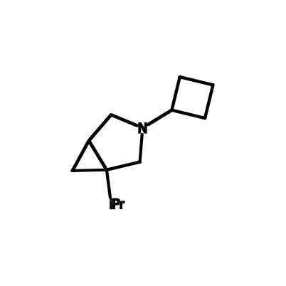 CC(C)C12CC1CN(C1CCC1)C2